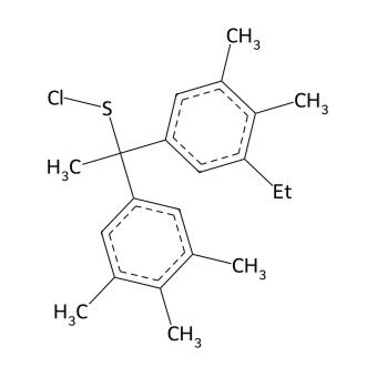 CCc1cc(C(C)(SCl)c2cc(C)c(C)c(C)c2)cc(C)c1C